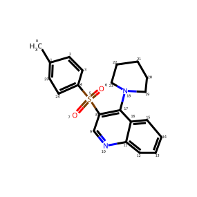 Cc1ccc(S(=O)(=O)c2cnc3ccccc3c2N2CCCCC2)cc1